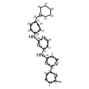 Cc1cccc(-c2nccc(Nc3ccnc(Nc4ccc(CN5CCCCC5)cc4)n3)n2)n1